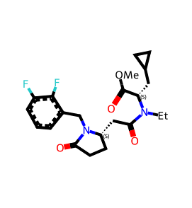 CCN(C(=O)C[C@@H]1CCC(=O)N1Cc1cccc(F)c1F)[C@@H](CC1CC1)C(=O)OC